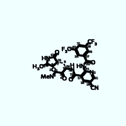 CNC(=O)C(=O)[C@H](C[C@@H]1C[C@@H](C)NC1=O)NC(=O)c1cc(C#N)cnc1NC(=O)c1cc(C(F)(F)F)cc(C(F)(F)F)c1